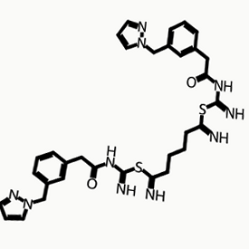 N=C(CCCCC(=N)SC(=N)NC(=O)Cc1cccc(Cn2cccn2)c1)SC(=N)NC(=O)Cc1cccc(Cn2cccn2)c1